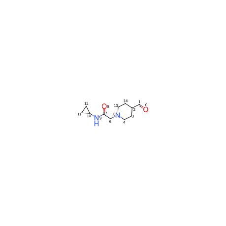 O=CC1CCN(CC(=O)NC2CC2)CC1